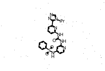 CC(C)n1cnnc1-c1cccc(NC(=O)Nc2cc(NS(=O)(=O)c3ccccc3)ccn2)n1